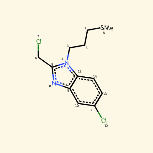 CSCCCn1c(CCl)nc2cc(Cl)ccc21